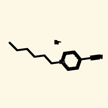 CCCCCC[n+]1ccc(C#N)cc1.[Br-]